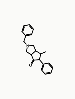 CC1C(c2ccccc2)C(=O)C2CN(Cc3ccccc3)CC21